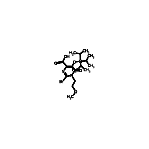 COCCn1c(Br)nc(C(=O)O)c(O[Si](C(C)C)(C(C)C)C(C)C)c1=O